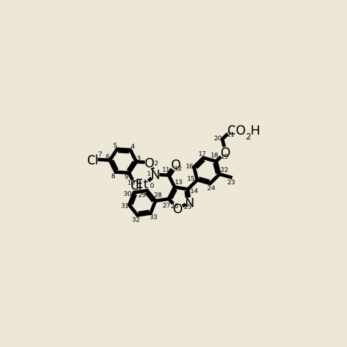 CCN(Oc1ccc(Cl)cc1Cl)C(=O)c1c(-c2ccc(OCC(=O)O)c(C)c2)noc1-c1ccccc1